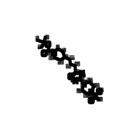 CC(C)(C)OC(=O)N1CCC(CCCc2nc(N3CCN(S(C)(=O)=O)CC3)no2)CC1